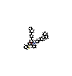 c1cc(-c2ccc(-c3ccc4ccccc4c3)cc2)cc(N(c2ccc(-c3ccc(-c4cccc5ccccc45)cc3)cc2)c2ccccc2-c2cccc3c2sc2ccccc23)c1